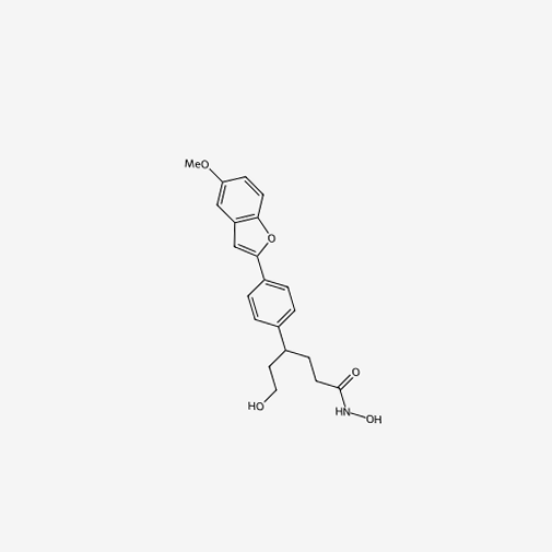 COc1ccc2oc(-c3ccc(C(CCO)CCC(=O)NO)cc3)cc2c1